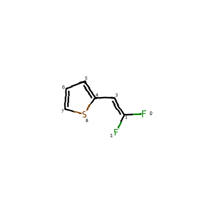 FC(F)=Cc1[c]ccs1